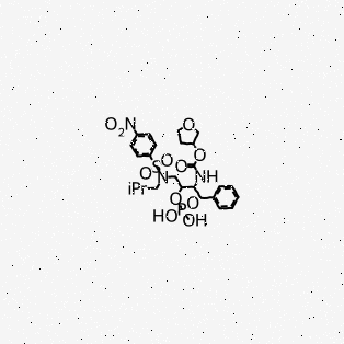 CC(C)CN(CC(OP(=O)(O)O)C(Cc1ccccc1)NC(=O)O[C@H]1CCOC1)S(=O)(=O)c1ccc([N+](=O)[O-])cc1